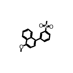 COc1ccc(-c2cccc(S(C)(=O)=O)c2)c2ccccc12